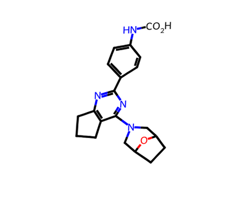 O=C(O)Nc1ccc(-c2nc3c(c(N4CC5CCC(C4)O5)n2)CCC3)cc1